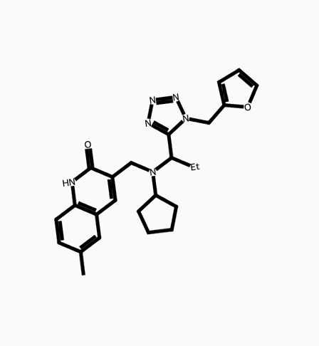 CCC(c1nnnn1Cc1ccco1)N(Cc1cc2cc(C)ccc2[nH]c1=O)C1CCCC1